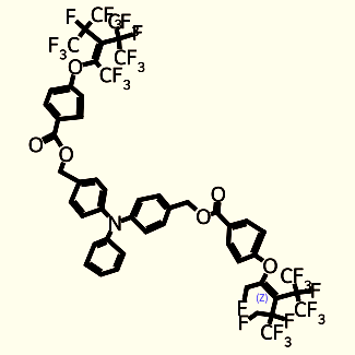 O=C(OCc1ccc(N(c2ccccc2)c2ccc(COC(=O)c3ccc(O/C(CF)=C(/C(F)(CF)C(F)(F)F)C(F)(C(F)(F)F)C(F)(F)F)cc3)cc2)cc1)c1ccc(OC(=C(C(F)(C(F)(F)F)C(F)(F)F)C(F)(C(F)(F)F)C(F)(F)F)C(F)(F)F)cc1